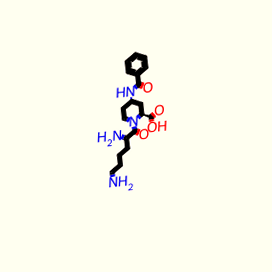 NCCCCC(N)C(=O)N1CC[C@H](NC(=O)c2ccccc2)C[C@H]1C(=O)O